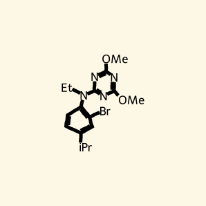 CCN(c1nc(OC)nc(OC)n1)c1ccc(C(C)C)cc1Br